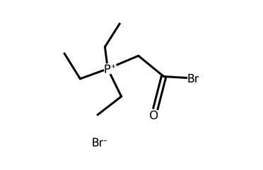 CC[P+](CC)(CC)CC(=O)Br.[Br-]